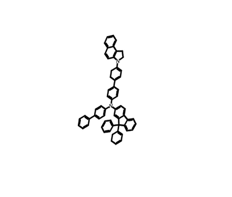 C1=CCCC(C2(c3ccccc3)c3ccccc3-c3ccc(N(c4ccc(C5=CC=C(N6CCc7c6ccc6ccccc76)CC5)cc4)c4ccc(-c5ccccc5)cc4)cc32)=C1